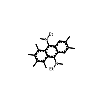 CCN(C)c1c2cc(C)c(C)cc2c(N(C)CC)c2c(C)c(C)c(C)c(C)c12